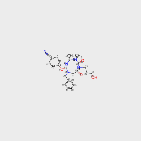 C=C1/N=C(/Oc2ccc(C#N)cc2)N(Cc2ccccc2)CC(=O)N(CCCO)C(=O)N1C